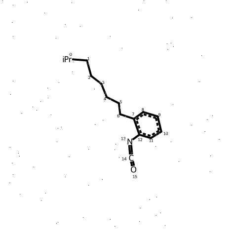 CC(C)CCCCCCc1ccccc1N=C=O